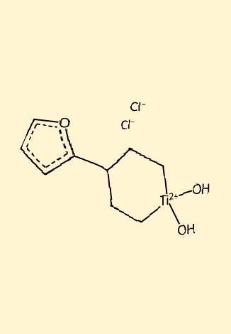 [Cl-].[Cl-].[OH][Ti+2]1([OH])[CH2]CC(c2ccco2)C[CH2]1